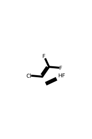 C=C.F.FC(F)=CCl